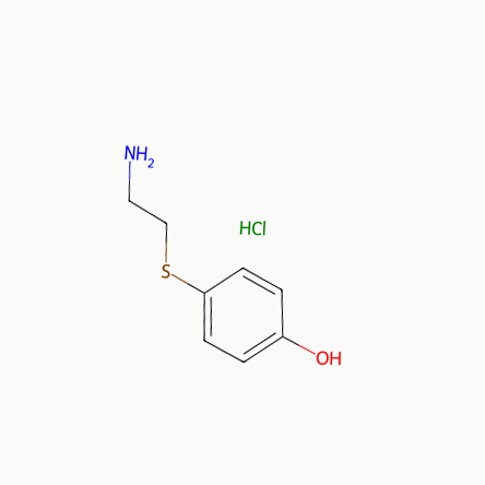 Cl.NCCSc1ccc(O)cc1